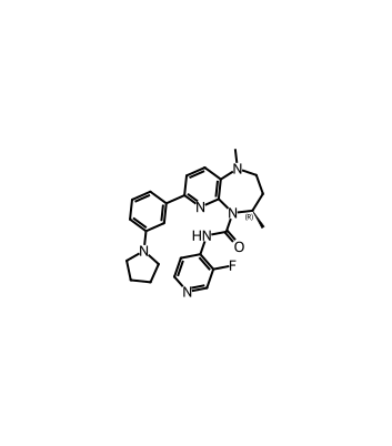 C[C@@H]1CCN(C)c2ccc(-c3cccc(N4CCCC4)c3)nc2N1C(=O)Nc1ccncc1F